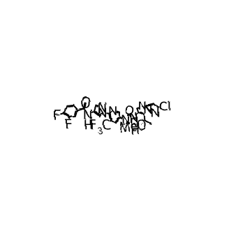 CO[C@@H](C)c1c(NC(=O)Nc2cnc(-n3cc(NC(=O)c4ccc(F)c(F)c4)cn3)c(C(F)(F)F)c2)cnc2cc(Cl)nn12